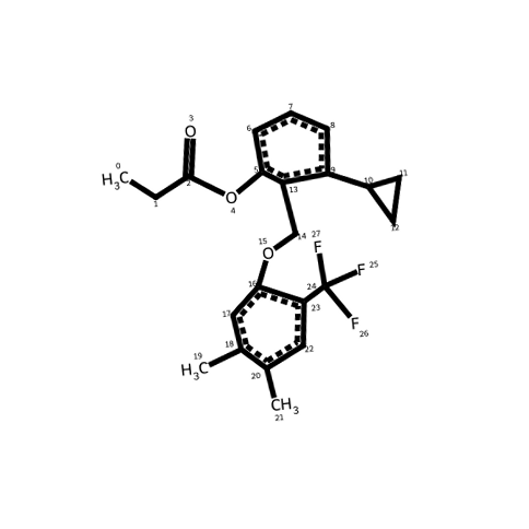 CCC(=O)Oc1cccc(C2CC2)c1COc1cc(C)c(C)cc1C(F)(F)F